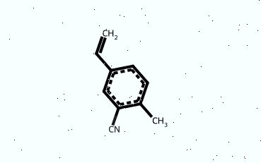 C=[C]c1ccc(C)c(C#N)c1